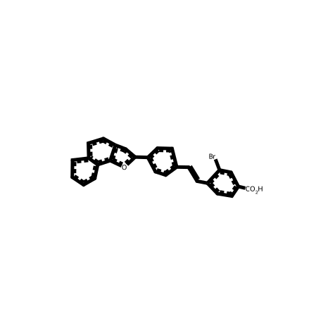 O=C(O)c1ccc(C=Cc2ccc(-c3cc4ccc5ccccc5c4o3)cc2)c(Br)c1